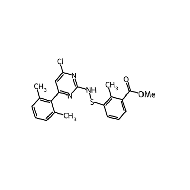 COC(=O)c1cccc(SNc2nc(Cl)cc(-c3c(C)cccc3C)n2)c1C